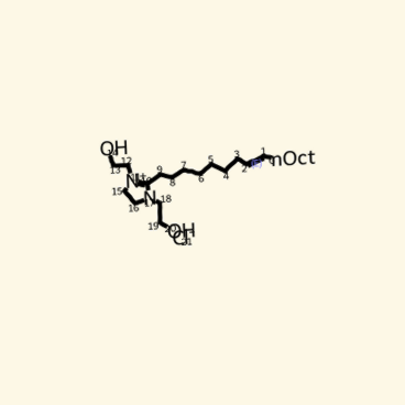 CCCCCCCC/C=C/CCCCCCCC1=[N+](CCO)CCN1CCO.[Cl-]